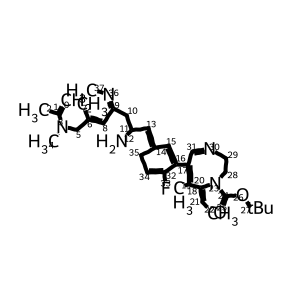 C=C(C)N(C)C/C(C)=C/C(CC(N)/C=C1C=C(C2=C(C)/C(=C/C)N(C(=O)OC(C)(C)C)CC/N=C\2)C(F)=CC/1)=N\C